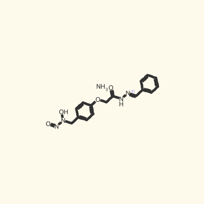 N.O=NN(O)Cc1ccc(OCC(=O)N/N=C/c2ccccc2)cc1